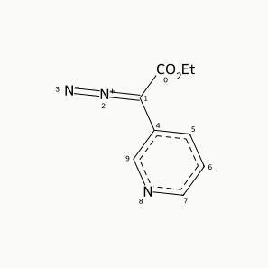 CCOC(=O)C(=[N+]=[N-])c1cccnc1